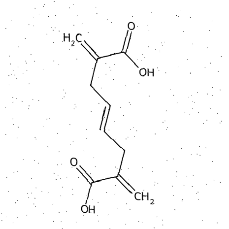 C=C(CC=CCC(=C)C(=O)O)C(=O)O